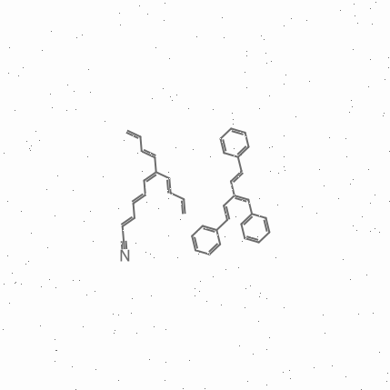 C(=Cc1ccccc1)C(C=Cc1ccccc1)=Cc1ccccc1.C=CC=CC(C=CC=C)=CC=CC=CC#N